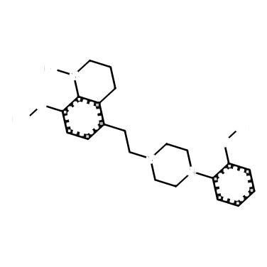 COc1ccccc1N1CCN(CCc2ccc(OC)c3c2CCCN3C)CC1